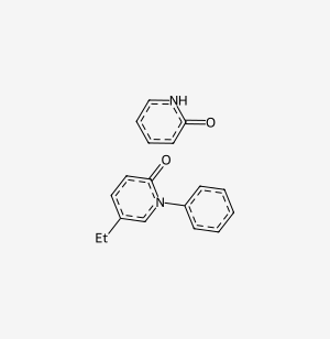 CCc1ccc(=O)n(-c2ccccc2)c1.O=c1cccc[nH]1